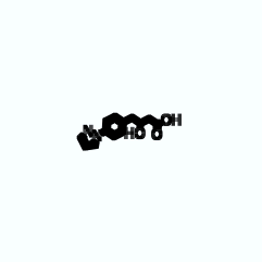 O=C(O)CC(O)Cc1ccc(-n2cccn2)cc1